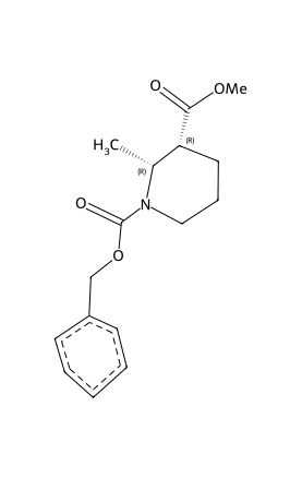 COC(=O)[C@@H]1CCCN(C(=O)OCc2ccccc2)[C@@H]1C